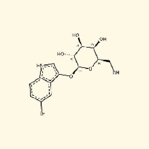 OC[C@H]1O[C@@H](Oc2c[nH]c3ccc(Br)cc23)[C@H](O)[C@@H](O)[C@H]1O